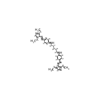 CCn1nc[n+](CC)c1N=Nc1ccc(NCCCCCNc2ccc(N=Nc3n(CC)nc[n+]3CC)cc2)cc1